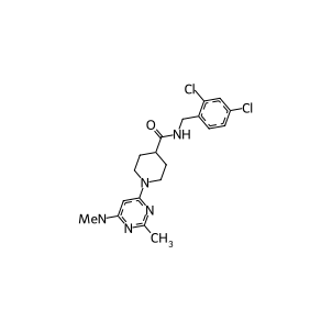 CNc1cc(N2CCC(C(=O)NCc3ccc(Cl)cc3Cl)CC2)nc(C)n1